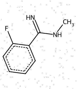 CNC(=N)c1cc[c]cc1F